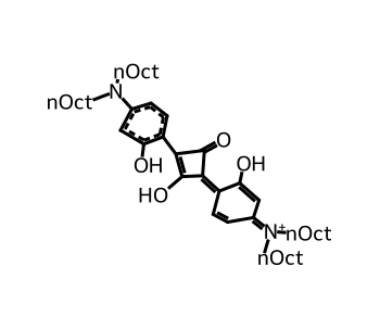 CCCCCCCCN(CCCCCCCC)c1ccc(C2=C(O)/C(=C3\C=CC(=[N+](CCCCCCCC)CCCCCCCC)C=C3O)C2=O)c(O)c1